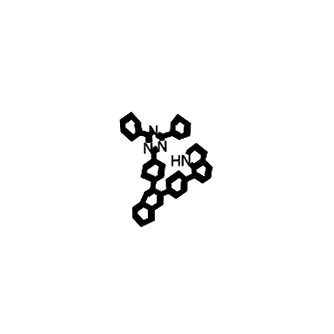 C1=Cc2cccc(-c3ccc(-c4cc5ccccc5cc4-c4ccc(-c5nc(-c6ccccc6)nc(-c6ccccc6)n5)cc4)cc3)c2NC1